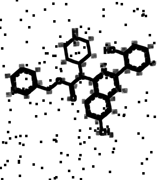 Cc1ccc2c(N(C(=O)OCc3cccnc3)C3CCNCC3)nc(-c3ccccc3O)nc2c1